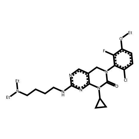 CCOc1ccc(Cl)c(N2Cc3cnc(NCCCCN(CC)CC)nc3N(C3CC3)C2=O)c1F